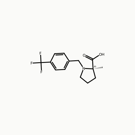 C[C@]1(C(=O)O)CCCN1Cc1ccc(C(F)(F)F)cc1